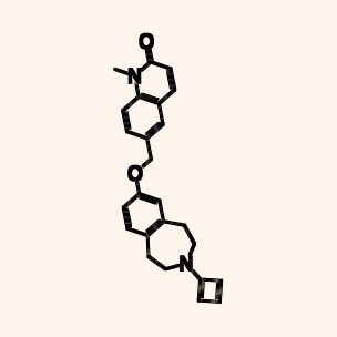 Cn1c(=O)ccc2cc(COc3ccc4c(c3)CCN(C3=CC=C3)CC4)ccc21